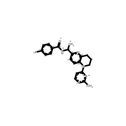 Cc1nccc(N2CCCc3nc(C(C)NC(=O)c4ccc(F)cc4)ccc32)n1